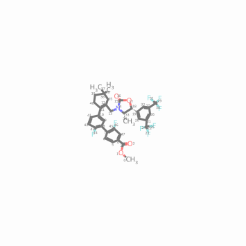 COC(=O)c1ccc(-c2cc(C3=C(CN4C(=O)O[C@H](c5cc(C(F)(F)F)cc(C(F)(F)F)c5)[C@@H]4C)CC(C)(C)CC3)ccc2F)c(F)c1